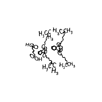 CC(C)CCCCCOC(=O)c1ccccc1C(=O)OCCCCCC(C)C.CC(C)CCCCCOC(=O)c1ccccc1C(=O)OCCCCCC(C)C.O=C(O)CCCCC(=O)O